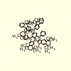 CC1(C)CCC(C)(C)c2cc(N3c4cc5c(cc4B4c6sc7cc8c(cc7c6N(c6ccccc6)c6cc(N(c7ccc9c(c7)C(C)(C)c7ccccc7-9)c7ccc9c(c7)C(C)(C)c7ccccc7-9)cc3c64)C(C)(C)CCC8(C)C)C(C)(C)CCC5(C)C)ccc21